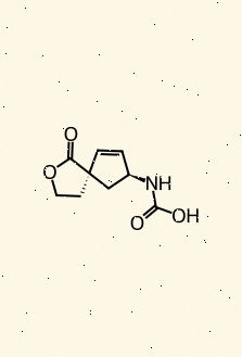 O=C(O)N[C@@H]1C=C[C@@]2(CCOC2=O)C1